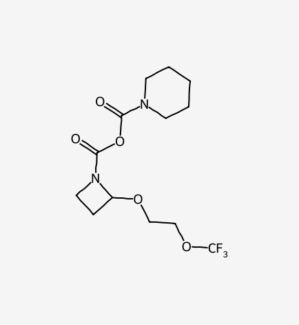 O=C(OC(=O)N1CCC1OCCOC(F)(F)F)N1CCCCC1